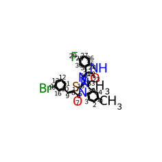 Cc1ccc(N2C(=O)C(=Cc3cccc(Br)c3)SC2=NN=C2C(=O)Nc3ccc(F)cc32)c(C)c1